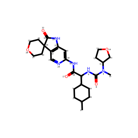 CC1CCC(C(NC(=O)N(C)C2CCOC2)C(=O)Nc2cc3c(cn2)C2(CCOCC2)C(=O)N3)CC1